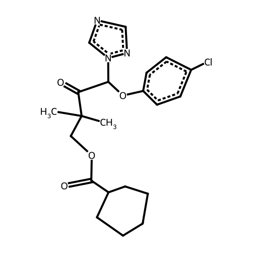 CC(C)(COC(=O)C1CCCCC1)C(=O)C(Oc1ccc(Cl)cc1)n1cncn1